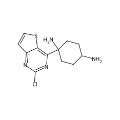 NC1CCC(N)(c2nc(Cl)nc3ccsc23)CC1